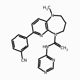 C=C(Nc1ccncn1)N1CCCN(C)c2ccc(-c3cccc(C#N)c3)nc21